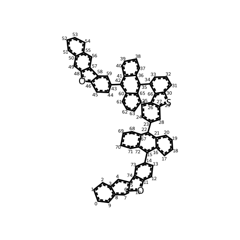 c1ccc2cc3c(cc2c1)oc1ccc(-c2c4ccccc4c(-c4ccc5c(c4)sc4cccc(-c6c7ccccc7c(-c7ccc8oc9cc%10ccccc%10cc9c8c7)c7ccccc67)c45)c4ccccc24)cc13